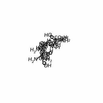 CC(C)C[C@H](NC(=O)CNC(=O)[C@H](Cc1ccccc1)NC(=O)[C@H](CO)NC(=O)[C@H](CC(N)=O)NC(=O)[C@H](Cc1c[nH]c2ccccc12)NC(=O)[C@H](CCCCN)NC(=O)[C@@H](N)Cc1ccc(O)cc1)C(=O)N[C@@H](CCCNC(=N)N)C(=O)N[C@@H](Cc1ccc(O)cc1)C(=O)O